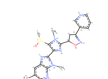 CC[S+]([O-])c1c(-c2nc3cc(C(F)(F)F)cnc3n2C)nc(C2CC(c3cccnc3)=NO2)n1C